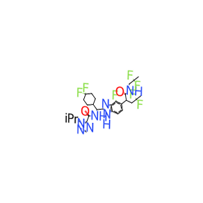 CC(C)n1ncnc1C(=O)NC(c1nc2c(F)c(C(CC(C)(F)F)C(=O)NCC(C)(F)F)ccc2[nH]1)C1CCC(F)(F)CC1